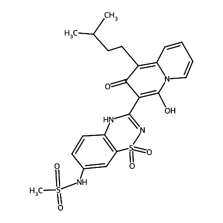 CC(C)CCc1c(=O)c(C2=NS(=O)(=O)c3cc(NS(C)(=O)=O)ccc3N2)c(O)n2ccccc12